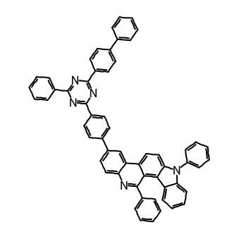 c1ccc(-c2ccc(-c3nc(-c4ccccc4)nc(-c4ccc(-c5ccc6nc(-c7ccccc7)c7c(ccc8c7c7ccccc7n8-c7ccccc7)c6c5)cc4)n3)cc2)cc1